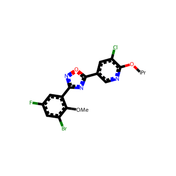 COc1c(Br)cc(F)cc1-c1noc(-c2cnc(OC(C)C)c(Cl)c2)n1